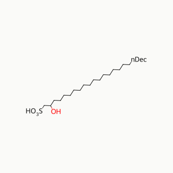 CCCCCCCCCCCCCCCCCCCCCCCCCCC(O)CS(=O)(=O)O